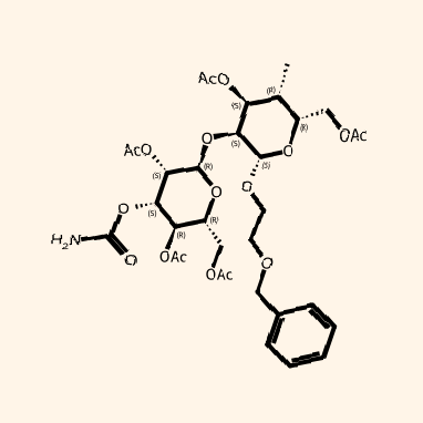 CC(=O)OC[C@@H]1O[C@H](OCCOCc2ccccc2)[C@@H](O[C@H]2O[C@H](COC(C)=O)[C@@H](OC(C)=O)[C@H](OC(N)=O)[C@@H]2OC(C)=O)[C@@H](OC(C)=O)[C@@H]1C